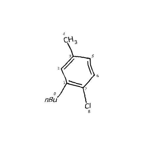 CCCCc1cc(C)ccc1Cl